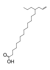 C=CCC(CCC)CCCCCCCCCCCCCC(=O)O